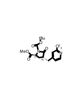 COC(=O)[C@@H]1C[C@@H](Cc2ccnc(C(F)(F)F)c2)C(=O)N1C(=O)OC(C)(C)C